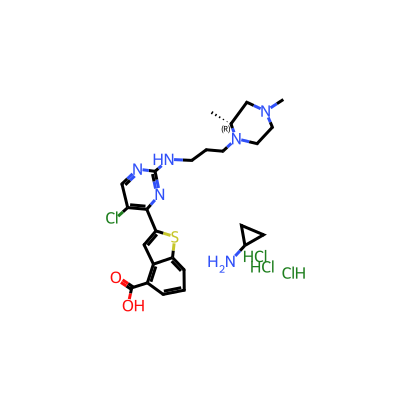 C[C@@H]1CN(C)CCN1CCCNc1ncc(Cl)c(-c2cc3c(C(=O)O)cccc3s2)n1.Cl.Cl.Cl.NC1CC1